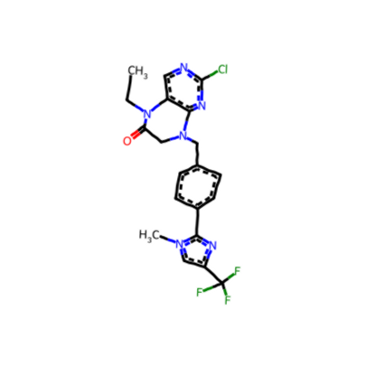 CCN1C(=O)CN(Cc2ccc(-c3nc(C(F)(F)F)cn3C)cc2)c2nc(Cl)ncc21